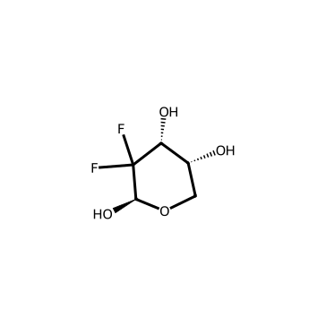 O[C@@H]1CO[C@@H](O)C(F)(F)[C@@H]1O